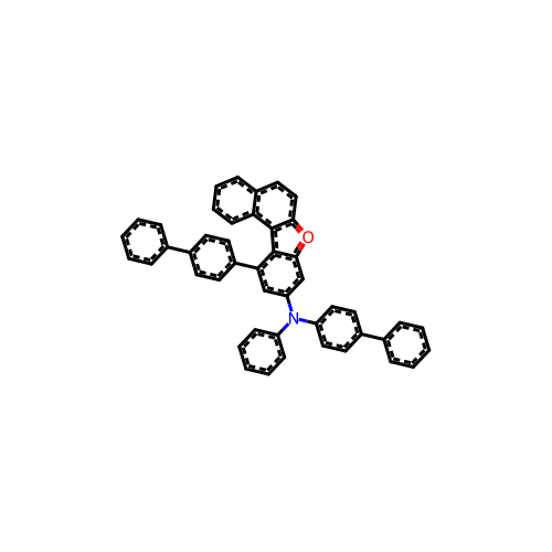 c1ccc(-c2ccc(-c3cc(N(c4ccccc4)c4ccc(-c5ccccc5)cc4)cc4oc5ccc6ccccc6c5c34)cc2)cc1